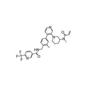 C=CC(=O)N(C)C1CCCN(c2cnccc2-c2ccc(CNC(=O)c3ccc(C(F)(F)F)nc3)c(C)c2)C1